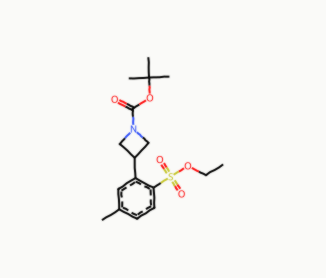 CCOS(=O)(=O)c1ccc(C)cc1C1CN(C(=O)OC(C)(C)C)C1